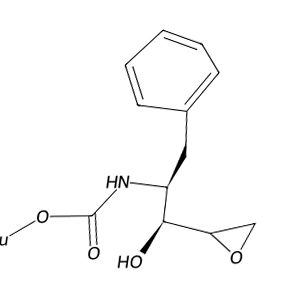 CC(C)(C)OC(=O)N[C@@H](Cc1ccccc1)[C@H](O)C1CO1